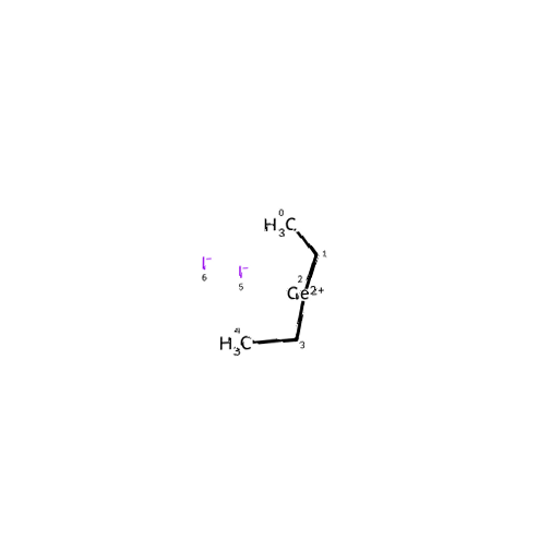 C[CH2][Ge+2][CH2]C.[I-].[I-]